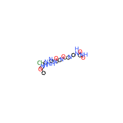 O=C1CCC(Nc2ccc(N3CCC(CC(=O)N4CCC5(CC4)CCN(c4cncc(Nc6ncc(Cl)c(N7CCOC(c8ccccc8)C7)n6)c4)C5=O)CC3)cc2)C(=O)N1